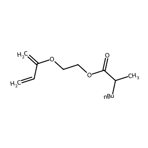 C=CC(=C)OCCOC(=O)C(C)CCCC